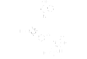 Cn1nc(-c2cccc(O[C@H]3C[C@@H](C(=O)O)N(C(=O)OC(C)(C)C)C3)c2)n(CCCCNC(=O)c2ccccc2C(=O)O)c1=O